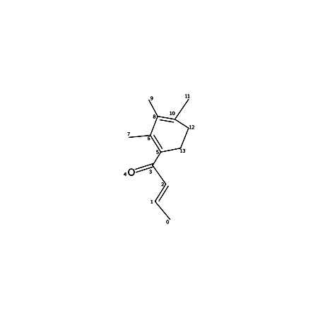 CC=CC(=O)C1=C(C)C(C)=C(C)CC1